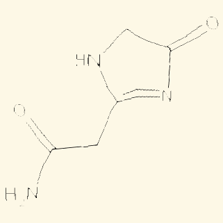 NC(=O)CC1=NC(=O)CN1